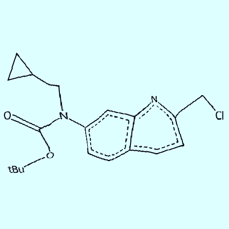 CC(C)(C)OC(=O)N(CC1CC1)c1ccc2ccc(CCl)nc2c1